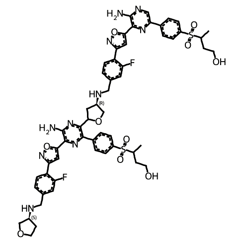 CC(CCO)S(=O)(=O)c1ccc(-c2cnc(N)c(-c3cc(-c4ccc(CN[C@H]5COC(c6nc(N)c(-c7cc(-c8ccc(CN[C@H]9CCOC9)cc8F)no7)nc6-c6ccc(S(=O)(=O)C(C)CCO)cc6)C5)cc4F)no3)n2)cc1